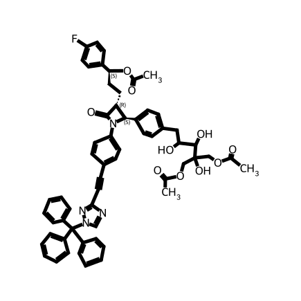 CC(=O)OCC(O)(COC(C)=O)C(O)C(O)Cc1ccc([C@@H]2[C@@H](CC[C@H](OC(C)=O)c3ccc(F)cc3)C(=O)N2c2ccc(C#Cc3ncn(C(c4ccccc4)(c4ccccc4)c4ccccc4)n3)cc2)cc1